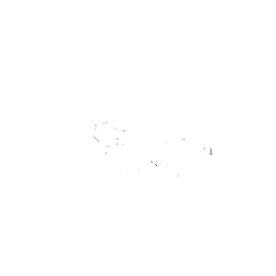 NC1CCC(NCC(O)c2ccccc2)CC1